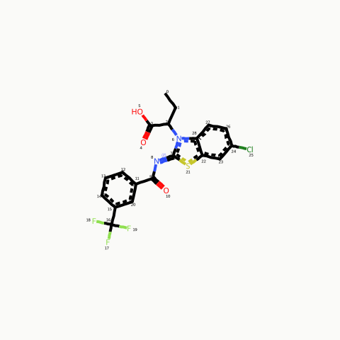 CCC(C(=O)O)n1/c(=N/C(=O)c2cccc(C(F)(F)F)c2)sc2cc(Cl)ccc21